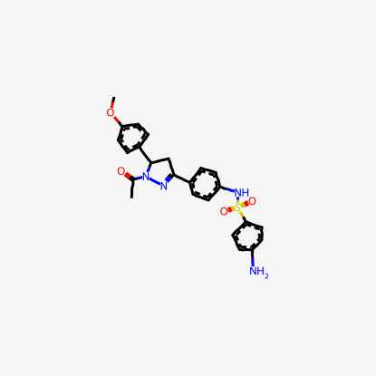 COc1ccc(C2CC(c3ccc(NS(=O)(=O)c4ccc(N)cc4)cc3)=NN2C(C)=O)cc1